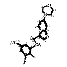 Cc1c(F)cc(C#N)cc1NC(=O)c1cnc2cc(N3CCOCC3)ccn12